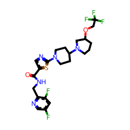 O=C(NCc1ncc(F)cc1F)c1cnc(N2CCC(N3CCCC(OCC(F)(F)F)C3)CC2)s1